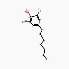 CCCCCCCc1cc(Cl)c(O)c(Cl)c1